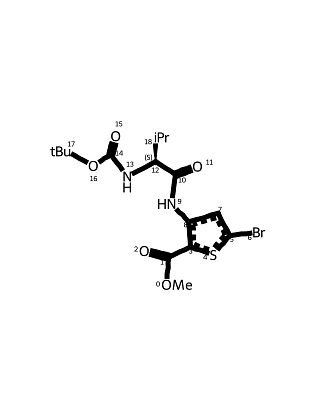 COC(=O)c1sc(Br)cc1NC(=O)[C@@H](NC(=O)OC(C)(C)C)C(C)C